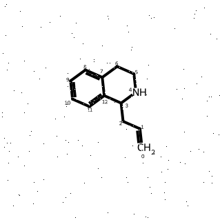 C=CCC1NCCc2ccccc21